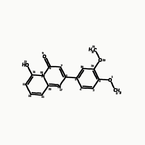 COc1ccc(-c2cc(=O)n3c(O)cccc3n2)cc1OC